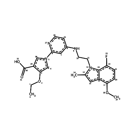 CCOc1nn(-c2cc(NCCn3c(C)cc4c(OC)ccc(F)c43)ccn2)cc1C(=O)O